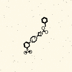 O=C(OCc1ccccc1)N1CC(N2CCN(C3=CC=CC(=S(=O)=O)C3)CC2)C1